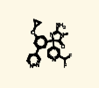 CN1C(=O)C(c2cc(OC3CC3)cc(-c3ccnnc3)c2)(c2ccnc(C(F)F)c2)N=C1N